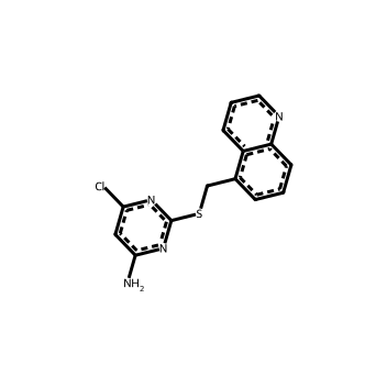 Nc1cc(Cl)nc(SCc2cccc3ncccc23)n1